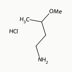 COC(C)CCN.Cl